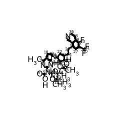 Cc1nc(N(C(=O)O)C(=O)OC(C)(C)C)nc2c1ccn2[C@@H]1C=C(CCc2cc(C(F)F)c(F)c3ccncc23)[C@H]2OC(C)(C)O[C@H]21